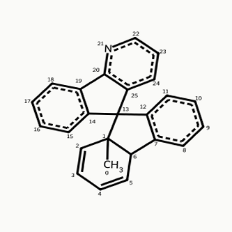 CC12C=CC=CC1c1ccccc1C21c2ccccc2-c2ncccc21